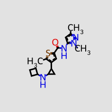 Cc1cc(NC(=O)c2cc(C3CC3NC3CCC3)c(C)s2)n(C)n1